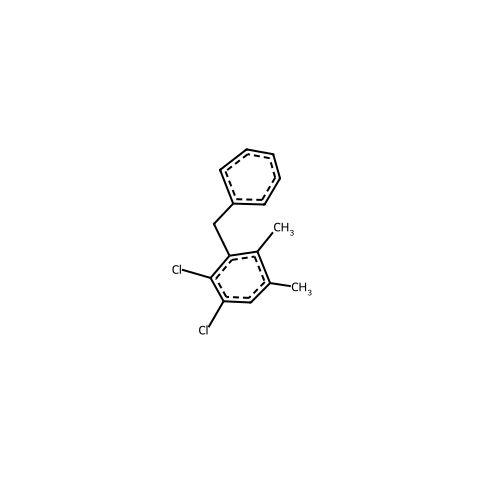 Cc1cc(Cl)c(Cl)c(Cc2ccccc2)c1C